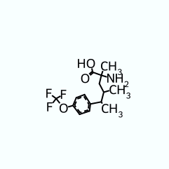 CC(CC(C)(N)C(=O)O)C(C)c1ccc(OC(F)(F)F)cc1